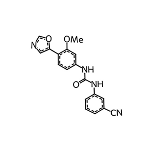 COc1cc(NC(=O)Nc2cccc(C#N)c2)ccc1-c1cnco1